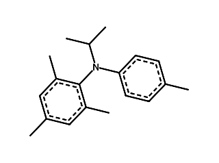 Cc1ccc(N(c2c(C)cc(C)cc2C)C(C)C)cc1